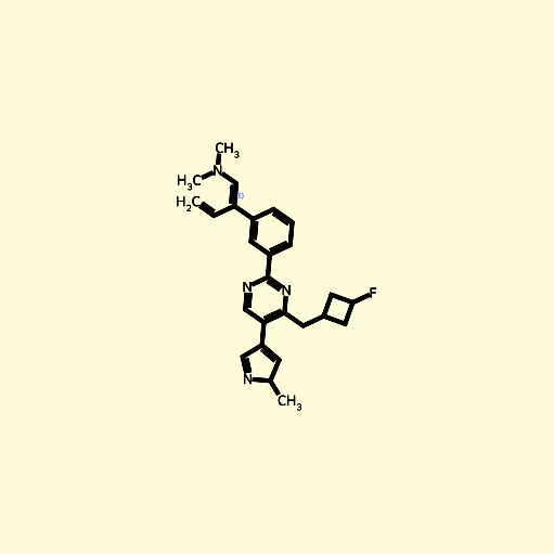 C=C/C(=C\N(C)C)c1cccc(-c2ncc(C3=CC(C)N=C3)c(CC3CC(F)C3)n2)c1